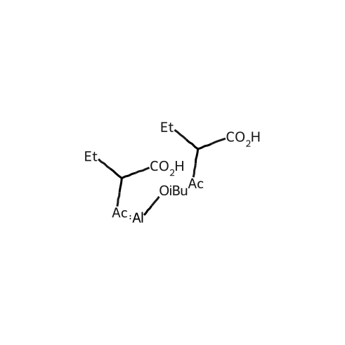 CC(C)C[O][Al].CCC(C(C)=O)C(=O)O.CCC(C(C)=O)C(=O)O